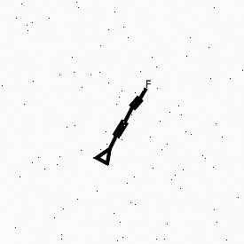 FC#CC#CC1[CH]C1